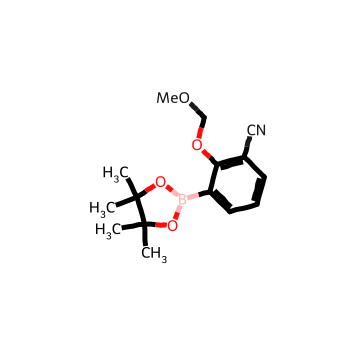 COCOc1c(C#N)cccc1B1OC(C)(C)C(C)(C)O1